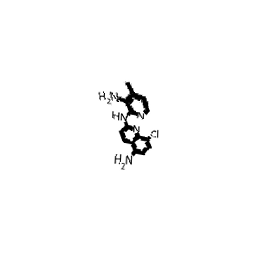 Cc1ccnc(Nc2ccc3c(N)ccc(Cl)c3n2)c1N